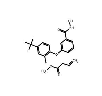 C=CCC(=O)OC.O=C(NO)c1cccc(Oc2ccc(C(F)(F)F)cc2Cl)c1